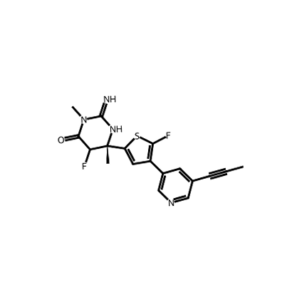 CC#Cc1cncc(-c2cc([C@@]3(C)NC(=N)N(C)C(=O)C3F)sc2F)c1